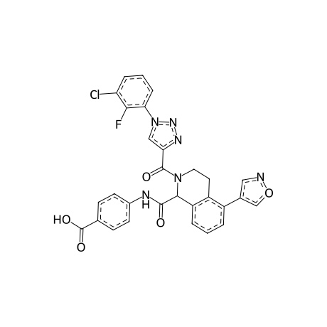 O=C(O)c1ccc(NC(=O)C2c3cccc(-c4cnoc4)c3CCN2C(=O)c2cn(-c3cccc(Cl)c3F)nn2)cc1